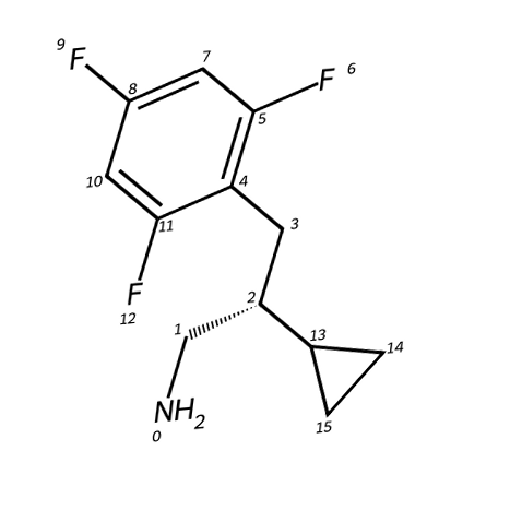 NC[C@H](Cc1c(F)cc(F)cc1F)C1CC1